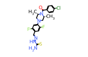 C[C@@H]1CN(c2cc(F)c(/C=N/NC(N)=S)cc2F)C[C@H](C)N1C(=O)c1ccc(Cl)cc1